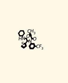 CC#CC(=O)N(c1cccc(C(F)(F)F)c1)C(C(=O)NC1CCCCC1)c1cccs1